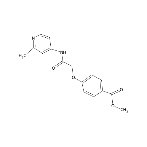 COC(=O)c1ccc(OCC(=O)Nc2ccnc(C)c2)cc1